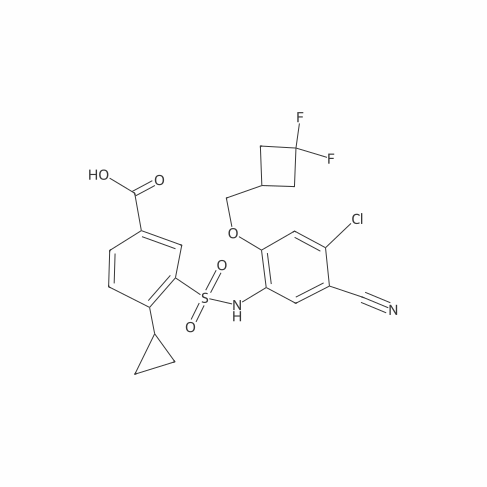 N#Cc1cc(NS(=O)(=O)c2cc(C(=O)O)ccc2C2CC2)c(OCC2CC(F)(F)C2)cc1Cl